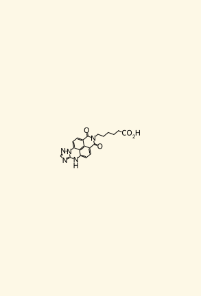 O=C(O)CCCCCn1c(=O)c2ccc3[nH]c4ncnn4c4ccc(c1=O)c2c34